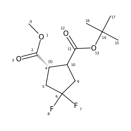 COC(=O)[C@H]1CC(F)(F)CC1C(=O)OC(C)(C)C